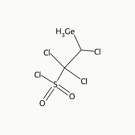 O=S(=O)(Cl)C(Cl)(Cl)[CH](Cl)[GeH3]